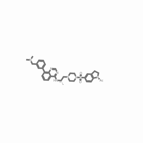 CC(=O)N1CCc2cc(S(=O)(=O)N3CCN(C[C@H](C)Nc4ncnc5c(-c6cccc(CN(C)C)c6)cccc45)CC3)ccc21